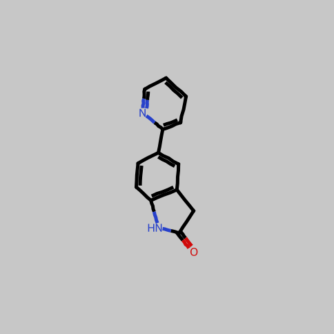 O=C1Cc2cc(-c3ccccn3)ccc2N1